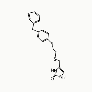 O=c1[nH]cc(CSCCSc2ccc(Cc3ccccc3)cc2)[nH]1